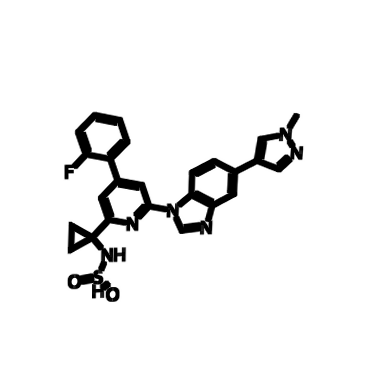 Cn1cc(-c2ccc3c(c2)ncn3-c2cc(-c3ccccc3F)cc(C3(N[SH](=O)=O)CC3)n2)cn1